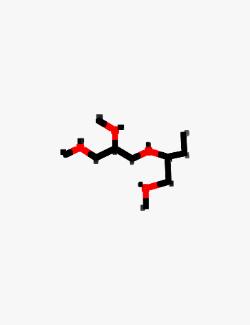 CCC(COC)OCC(COC)OC